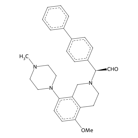 COc1ccc(N2CCN(C)CC2)c2c1CCN([C@H](C=O)c1ccc(-c3ccccc3)cc1)C2